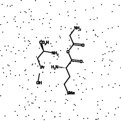 CC(C)C[C@H](N)C(=O)O.CO.CSCC[C@H](N)C(=O)OC(=O)CN